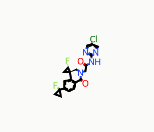 O=C(CN1C[C@]2(C[C@@H]2F)c2cc(C3(F)CC3)ccc2C1=O)Nc1ncc(Cl)cn1